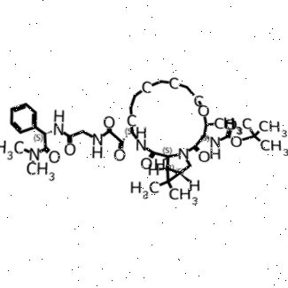 CC1OCCCCCCCC[C@@H](C(=O)C(=O)NCC(=O)N[C@H](C(=O)N(C)C)c2ccccc2)NC(=O)[C@@H]2[C@@H]3[C@H](CN2C(=O)[C@H]1NC(=O)OC(C)(C)C)C3(C)C